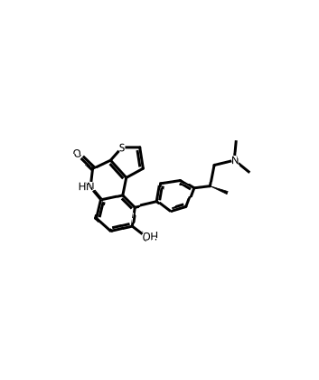 C[C@H](CN(C)C)c1ccc(-c2c(O)ccc3[nH]c(=O)c4sccc4c23)cc1